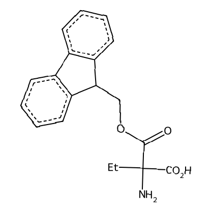 CCC(N)(C(=O)O)C(=O)OCC1c2ccccc2-c2ccccc21